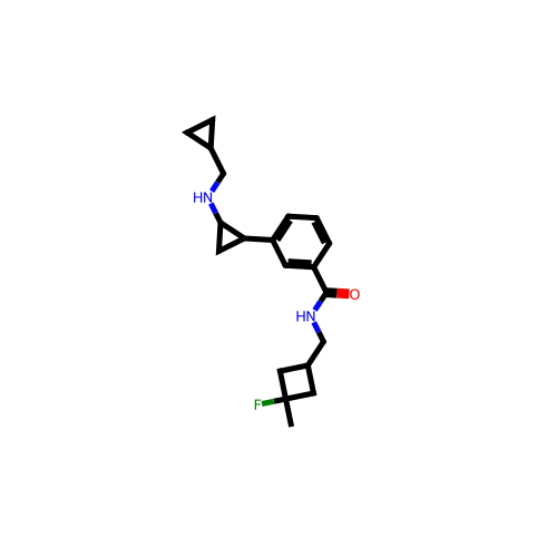 CC1(F)CC(CNC(=O)c2cccc(C3CC3NCC3CC3)c2)C1